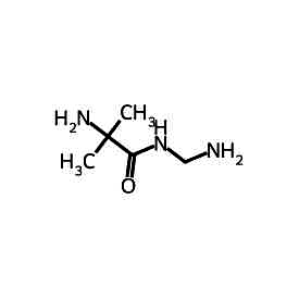 CC(C)(N)C(=O)NCN